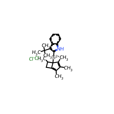 CC1=C(C)[C]2([Ti+2][c]3[nH]c4ccccc4c3C(C)(C)C)C(=C1C)CC2C.[Cl-].[Cl-]